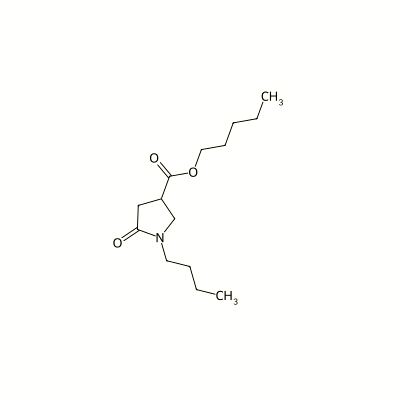 CCCCCOC(=O)C1CC(=O)N(CCCC)C1